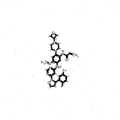 C=CC(=O)Nc1cc(Nc2cc(N3OCCC3c3cc(F)ccc3F)ncn2)c(OC)cc1N1CCN(C2COC2)CC1